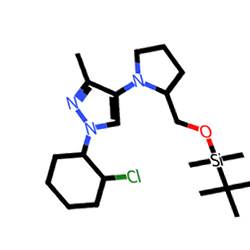 Cc1nn(C2CCCCC2Cl)cc1N1CCCC1CO[Si](C)(C)C(C)(C)C